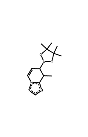 CC1c2ncnn2C=CC1B1OC(C)(C)C(C)(C)O1